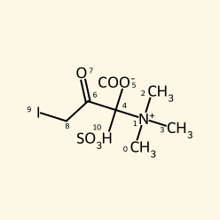 C[N+](C)(C)C(C(=O)[O-])(C(=O)CI)S(=O)(=O)O